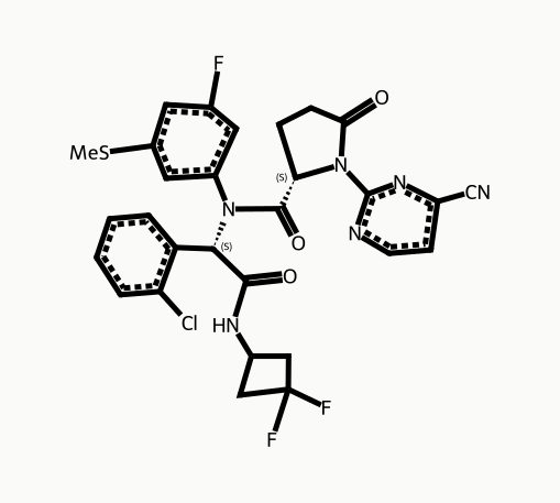 CSc1cc(F)cc(N(C(=O)[C@@H]2CCC(=O)N2c2nccc(C#N)n2)[C@H](C(=O)NC2CC(F)(F)C2)c2ccccc2Cl)c1